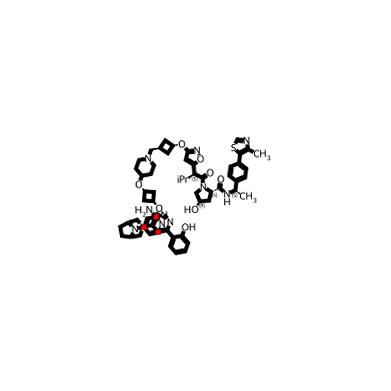 Cc1ncsc1-c1ccc([C@H](C)NC(=O)[C@@H]2C[C@@H](O)CN2C(=O)[C@H](c2cc(O[C@H]3C[C@H](CN4CCC(O[C@H]5C[C@H](Oc6cc(N7C8CCC7CN(c7cc(-c9ccccc9O)nnc7N)C8)ccn6)C5)CC4)C3)no2)C(C)C)cc1